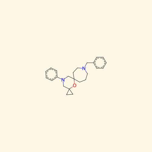 c1ccc(CN2CCCC3(CC2)CN(c2ccccc2)CC2(CC2)O3)cc1